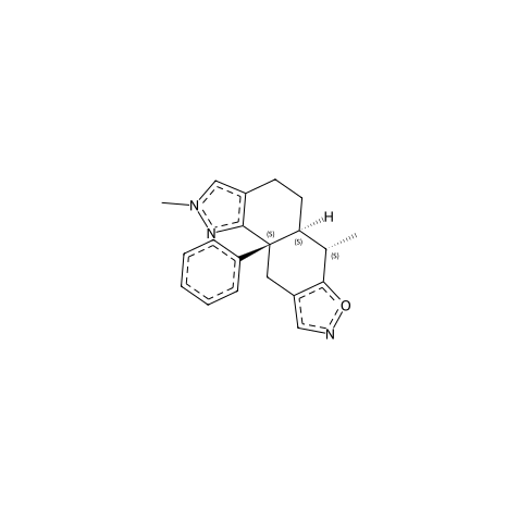 C[C@@H]1c2oncc2C[C@]2(c3ccccc3)c3nn(C)cc3CC[C@@H]12